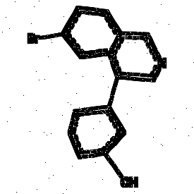 Oc1cccc(-c2cncc3ccc(Br)cc23)c1